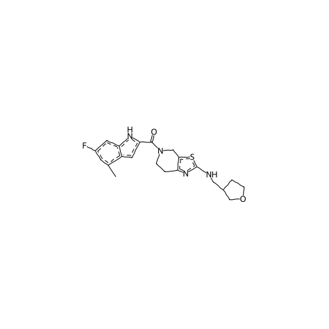 Cc1cc(F)cc2[nH]c(C(=O)N3CCc4nc(NCC5CCOC5)sc4C3)cc12